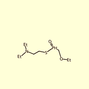 CCOC[PH](=O)SCCN(CC)CC